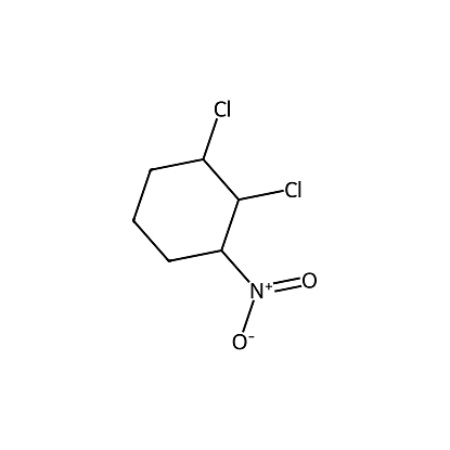 O=[N+]([O-])C1CCCC(Cl)C1Cl